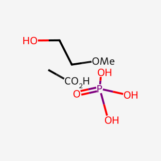 CC(=O)O.COCCO.O=P(O)(O)O